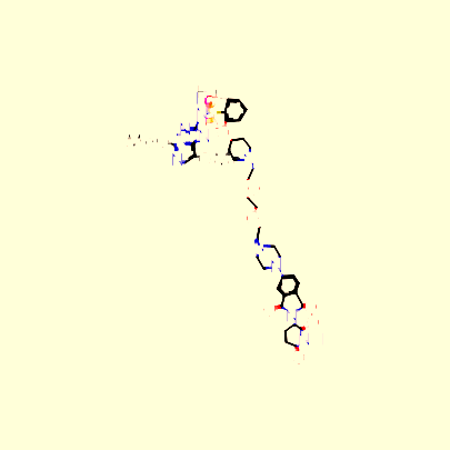 COc1cnc(OC)n2nc(NS(=O)(=O)c3c(OC4CCN(CCOCCOCCN5CCN(c6ccc7c(c6)C(=O)N(C6CCC(=O)NC6=O)C7=O)CC5)CC4)cccc3C(F)(F)F)nc12